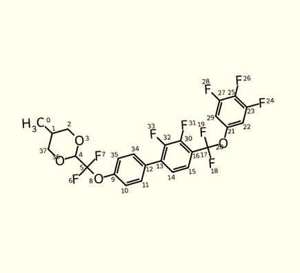 CC1COC(C(F)(F)Oc2ccc(-c3ccc(C(F)(F)Oc4cc(F)c(F)c(F)c4)c(F)c3F)cc2)OC1